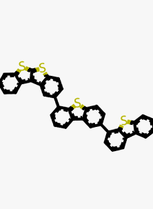 c1ccc2c(c1)sc1c(-c3ccc4sc5c(-c6ccc7sc8sc9ccccc9c8c7c6)cccc5c4c3)cccc12